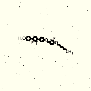 CCCCCCCOc1ccc(COc2ccc(-c3ccc(C4CCC(C)CC4)c(F)c3F)cc2)cc1F